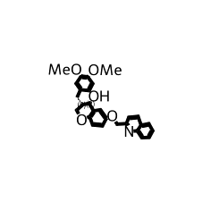 COc1ccc(C[C@H]2COc3ccc(OCc4ccc5ccccc5n4)cc3[C@@H]2O)cc1OC